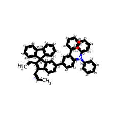 C=CC1=C(/C=C\C)c2ccc(-c3ccc(N(c4ccccc4)c4ccccc4)c(-c4ccccc4)c3)cc2C12c1ccccc1-c1ccccc12